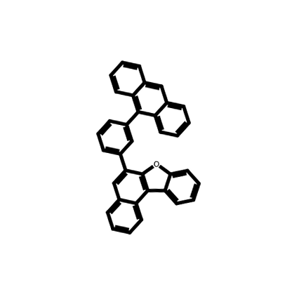 c1cc(-c2c3ccccc3cc3ccccc23)cc(-c2cc3ccccc3c3c2oc2ccccc23)c1